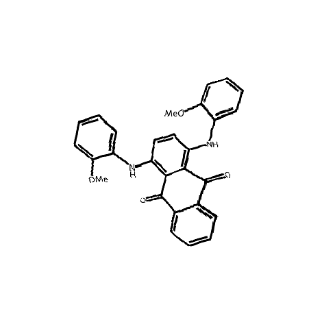 COc1ccccc1Nc1ccc(Nc2ccccc2OC)c2c1C(=O)c1ccccc1C2=O